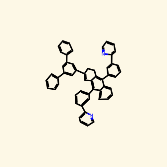 C1=C(c2cc(-c3ccccc3)cc(-c3ccccc3)c2)CCc2c1c(-c1cccc(-c3ccccn3)c1)c1ccccc1c2-c1cccc(-c2ccccn2)c1